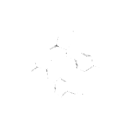 COC(Cc1ccc(O)cc1)C(=O)[O-].COC(Cc1ccc(O)cc1)C(=O)[O-].[Sr+2]